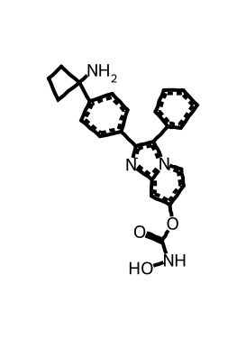 NC1(c2ccc(-c3nc4cc(OC(=O)NO)ccn4c3-c3ccccc3)cc2)CCC1